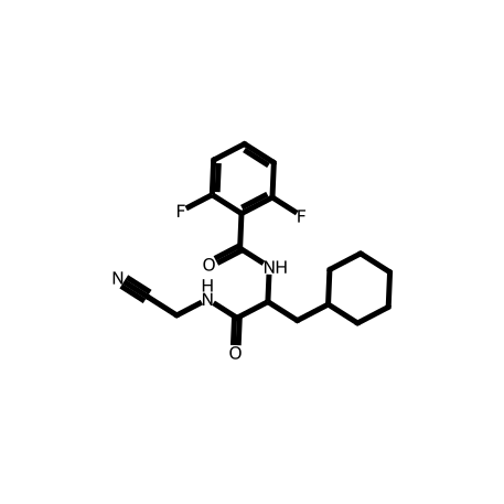 N#CCNC(=O)C(CC1CCCCC1)NC(=O)c1c(F)cccc1F